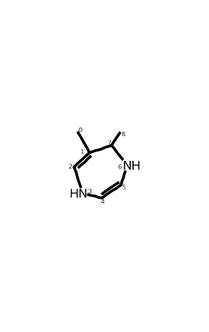 CC1=CNC=CNC1C